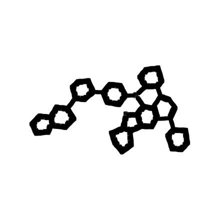 C1=C(c2ccccc2)CCC(c2ccccc2N(c2ccc(-c3cccc(-c4ccc5ccccc5c4)c3)cc2)c2cccc3c2sc2ccccc23)=C1